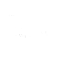 C=C(C)CC(=CC=O)C(=O)OC